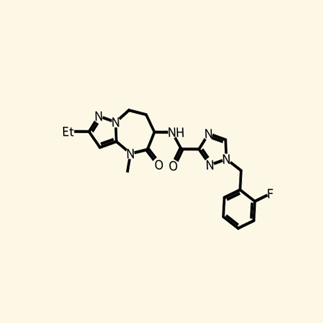 CCc1cc2n(n1)CCC(NC(=O)c1ncn(Cc3ccccc3F)n1)C(=O)N2C